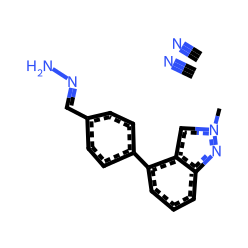 C#N.C#N.Cn1cc2c(-c3ccc(C=NN)cc3)cccc2n1